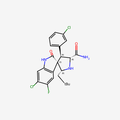 CC(C)(C)C[C@H]1N[C@@H](C(N)=O)[C@H](c2cccc(Cl)c2)[C@@]12C(=O)Nc1cc(Cl)c(F)cc12